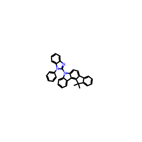 CC1(C)c2ccccc2-c2ccc3c(c21)c1ccccc1n3-c1nc2ccccc2n1-c1ccccc1